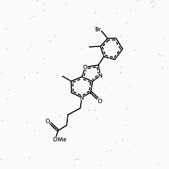 COC(=O)CCCn1cc(C)c2oc(-c3cccc(Br)c3C)nc2c1=O